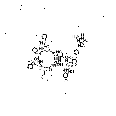 COc1ccc2nc([S+]([O-])Cc3ncc(C)c(OC)c3C)[nH]c2c1.C[C@@H](O)[C@@H]1NC(=O)[C@H](CCCCN)NC(=O)[C@@H](Cc2c[nH]c3ccccc23)NC(=O)[C@H](Cc2ccccc2)NC(=O)[C@@H](NC(=O)[C@H](N)Cc2ccccc2)CSSC[C@@H](C(=O)N[C@H](CO)[C@@H](C)O)NC1=O.Nc1nc2c(ncn2Cc2ccccc2)c(=O)[nH]1